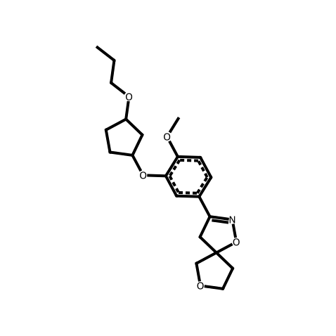 CCCOC1CCC(Oc2cc(C3=NOC4(CCOC4)C3)ccc2OC)C1